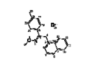 CON=C(C[n+]1cccc2ccccc21)c1ccc(C)cc1.[Br-]